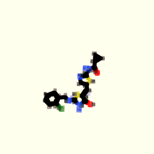 O=C1N/C(=N/Cc2ccccc2Cl)S/C1=C\C1CN=C(NC(=O)C2CC2)S1